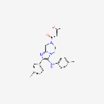 Cc1ccc(Nc2c(-c3ccc(F)cc3)nc3n2CCN(C(=O)CC(C)O)C3)cc1